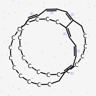 C1=C\C=C\CCCCCCCCCCCCCCC(/C2=C\C=C/C=C/CCCCCCCCCCCCCC2)=C/1